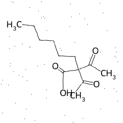 CCCCCCC(C(C)=O)(C(C)=O)C(=O)O